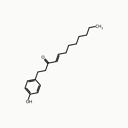 CCCCCCC/C=C/C(=O)CCc1ccc(O)cc1